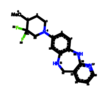 COC1CCN(c2ccc3c(c2)NCc2cccnc2N3)CC1(F)F